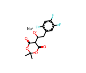 CC1(C)OC(=O)C(C([O-])Cc2cc(F)c(F)cc2F)C(=O)O1.[Na+]